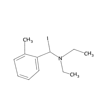 CCN(CC)C(I)c1ccccc1C